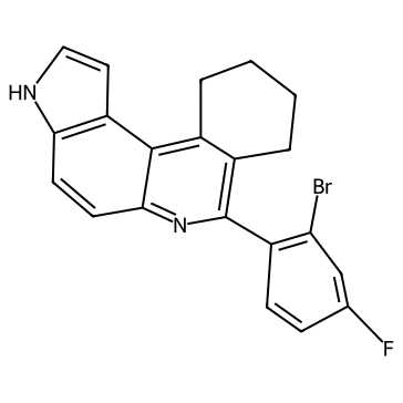 Fc1ccc(-c2nc3ccc4[nH]ccc4c3c3c2CCCC3)c(Br)c1